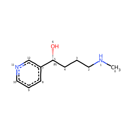 CNCCC[C@@H](O)c1cccnc1